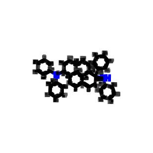 C1=c2ccc3c(N(c4ccccc4)c4ccccc4)ccc4ccc(c2c43)C(Nc2ccccc2)(c2ccccc2)C1